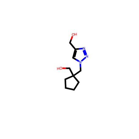 OCc1cn(CC2(CO)CCCC2)nn1